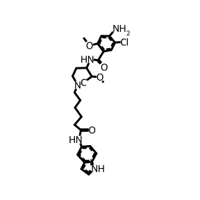 COc1cc(N)c(Cl)cc1C(=O)NC1CCN(CCCCCC(=O)Nc2ccc3[nH]ccc3c2)CC1OC